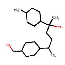 CC1CCC(C(C)(O)CCC(C)C2CCC(CO)CC2)CC1